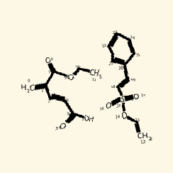 C=C(C=CC(=O)O)C(=O)OCC.C=COS(=O)(=O)C=Cc1ccccc1